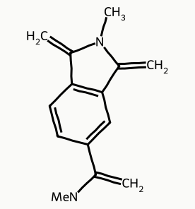 C=C(NC)c1ccc2c(=C)n(C)c(=C)c2c1